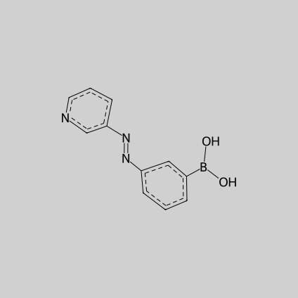 OB(O)c1cccc(N=Nc2cccnc2)c1